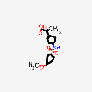 COc1ccc(S(=O)(=O)Nc2ccc(C(C)C(=O)O)cc2)cc1